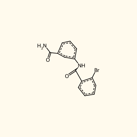 NC(=O)c1cccc(NC(=O)c2ccccc2Br)c1